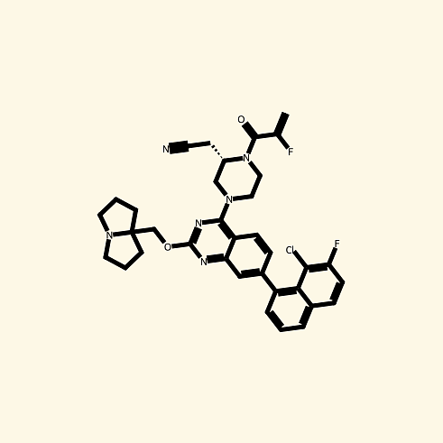 C=C(F)C(=O)N1CCN(c2nc(OCC34CCCN3CCC4)nc3cc(-c4cccc5ccc(F)c(Cl)c45)ccc23)C[C@@H]1CC#N